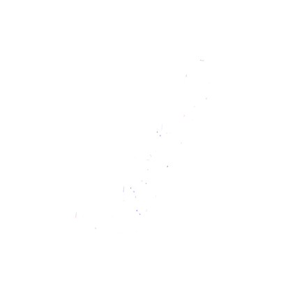 O=C(COc1ccc(Cl)c(F)c1)NC12CC(C(=O)Nc3cc(CO)ccn3)(C1)C2